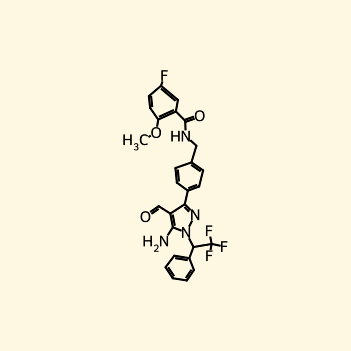 COc1ccc(F)cc1C(=O)NCc1ccc(-c2nn(C(c3ccccc3)C(F)(F)F)c(N)c2C=O)cc1